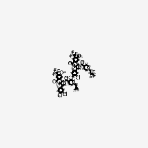 COc1ccc(C(=O)N(C)C2CN(C(=O)C3CCN(CC4CC4)CC3)CC2c2ccc(Cl)c(Cl)c2)cc1C(F)(F)F.COc1ccc(C(=O)N(C)C2CN(C(=O)C3CCN(CCC(F)(F)F)CC3)CC2c2ccc(Cl)c(Cl)c2)cc1C(F)(F)F